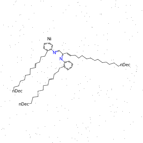 CCCCCCCCCCCCCCCCCC=CCCCc1ccccc1N=CC(C=CCCCCCCCCCCCCCCCCCCCCCC)=Nc1ccccc1CCCC=CCCCCCCCCCCCCCCCCC.[Ni]